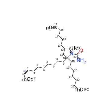 CCCCCCCC/C=C\CCCCCCCC(CCCCCCCCCCCCCCCC)(CCCCCCCCCCCCCCCC)N(CCCCCC)C(N)=O